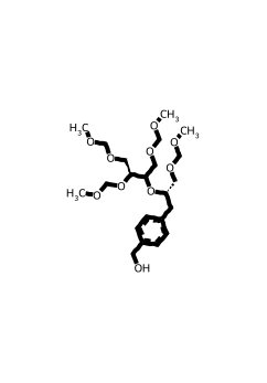 COCOCC(O[C@H](COCOC)Cc1ccc(CO)cc1)[C@H](COCOC)OCOC